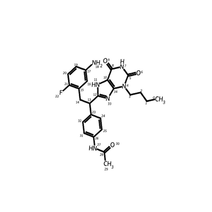 CCCCn1c(=O)[nH]c(=O)c2[nH]c(C(Cc3cc(N)ccc3F)c3ccc(NC(C)=O)cc3)nc21